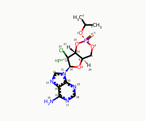 CC(C)O[P@]1(=S)OC[C@H]2O[C@@H](n3cnc4c(N)ncnc43)[C@@](F)(Cl)[C@@H]2O1